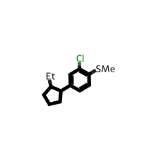 [CH2]CC1CCCC1c1ccc(SC)c(Cl)c1